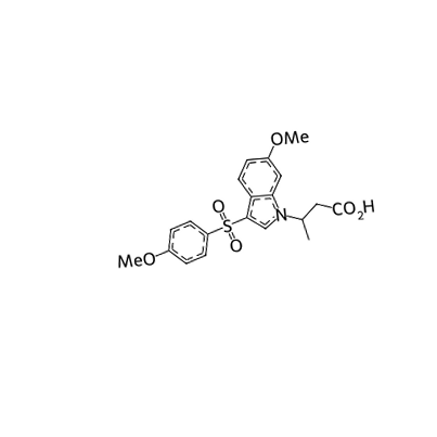 COc1ccc(S(=O)(=O)c2cn(C(C)CC(=O)O)c3cc(OC)ccc23)cc1